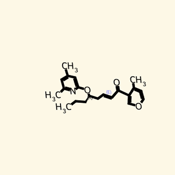 CCC[C@H](C/C=C/C(=O)C1=COC=C=C1C)Oc1cc(C)cc(C)n1